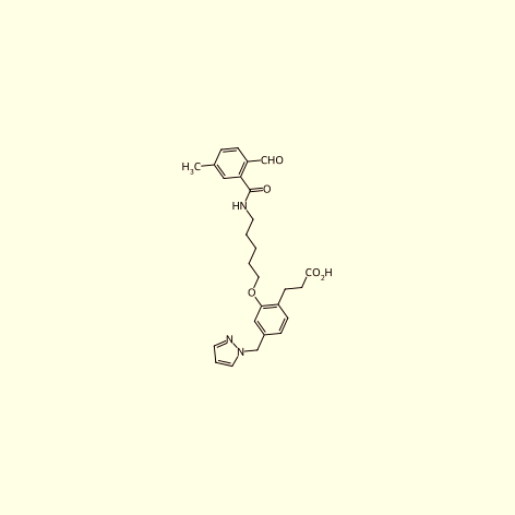 Cc1ccc(C=O)c(C(=O)NCCCCCOc2cc(Cn3cccn3)ccc2CCC(=O)O)c1